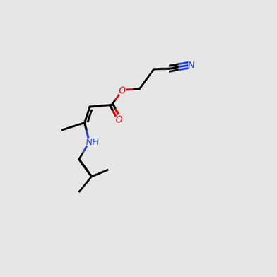 C/C(=C/C(=O)OCCC#N)NCC(C)C